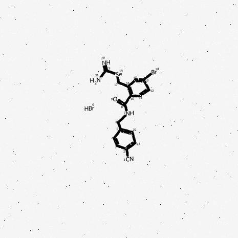 Br.N#Cc1ccc(CNC(=O)c2ccc(Br)cc2C[Se]C(=N)N)cc1